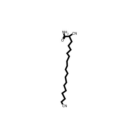 N#CCCCCCCCCCCCCCCCCC(C#N)C(N)=O